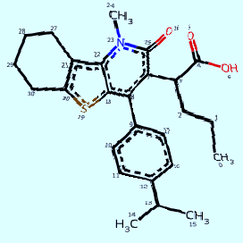 CCCC(C(=O)O)c1c(-c2ccc(C(C)C)cc2)c2sc3c(c2n(C)c1=O)CCCC3